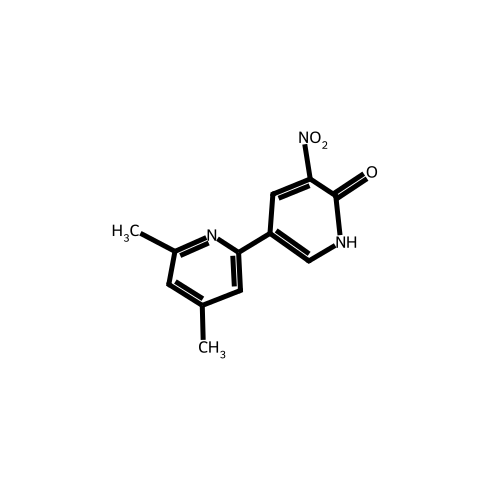 Cc1cc(C)nc(-c2c[nH]c(=O)c([N+](=O)[O-])c2)c1